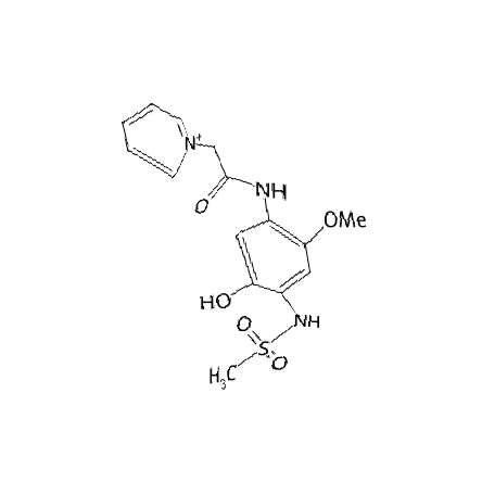 COc1cc(NS(C)(=O)=O)c(O)cc1NC(=O)C[n+]1ccccc1